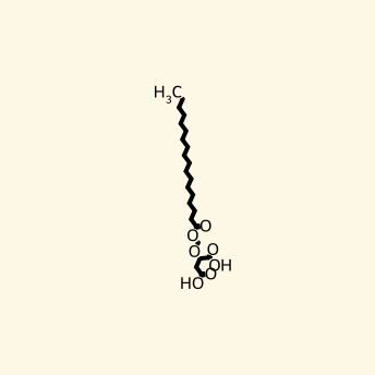 CCCCCCCCCCCCCCCCCC(=O)OCOC(CC(=O)O)C(=O)O